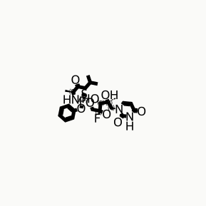 CC(C)CC(=O)[C@H](C)NP(=S)(OC[C@@]1(F)O[C@@H](n2ccc(=O)[nH]c2=O)[C@](C)(O)[C@@H]1O)Oc1ccccc1